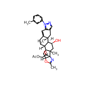 CC(=O)OCC(=O)[C@@]12N=C(C)O[C@@H]1C[C@H]1[C@@H]3CCC4=Cc5c(cnn5-c5cccc(C)c5)C[C@]4(C)[C@H]3[C@@H](O)C[C@@]12C